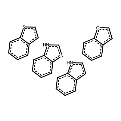 c1ccc2[nH]ccc2c1.c1ccc2[nH]cnc2c1.c1ccc2occc2c1.c1ccc2sccc2c1